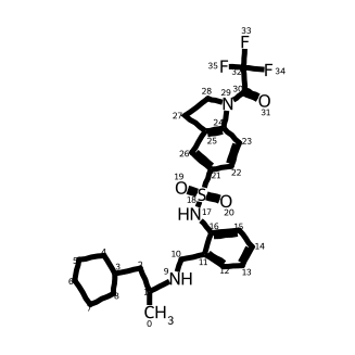 CC(CC1CCCCC1)NCc1ccccc1NS(=O)(=O)c1ccc2c(c1)CCN2C(=O)C(F)(F)F